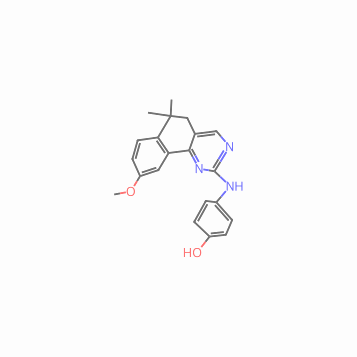 COc1ccc2c(c1)-c1nc(Nc3ccc(O)cc3)ncc1CC2(C)C